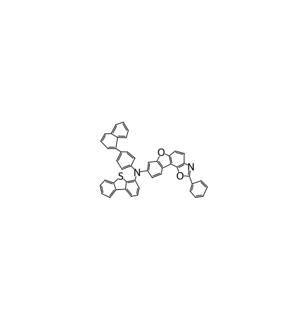 c1ccc(-c2nc3ccc4oc5cc(N(c6ccc(-c7cccc8ccccc78)cc6)c6cccc7c6sc6ccccc67)ccc5c4c3o2)cc1